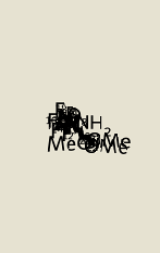 CO[Si](CCCCN(C(N)=O)c1c(F)c(F)c(F)c(F)c1F)(OC)OC